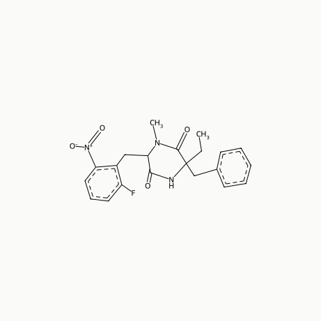 CCC1(Cc2ccccc2)NC(=O)C(Cc2c(F)cccc2[N+](=O)[O-])N(C)C1=O